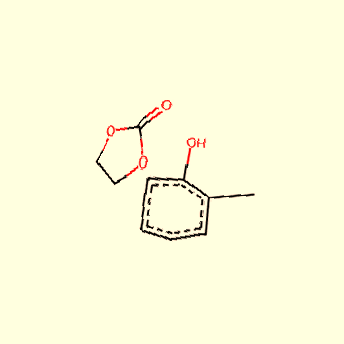 Cc1ccccc1O.O=C1OCCO1